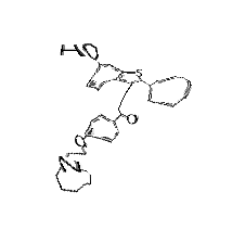 O=C(c1ccc(OCCN2CCCCC2)cc1)c1c(C2=CC=CC=CC=C2)sc2cc(O)ccc12